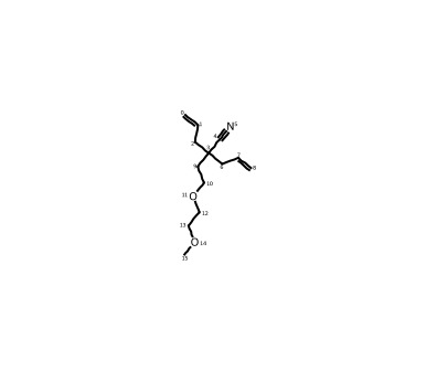 C=CCC(C#N)(CC=C)CCOCCOC